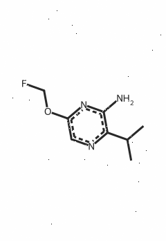 CC(C)c1ncc(OCF)nc1N